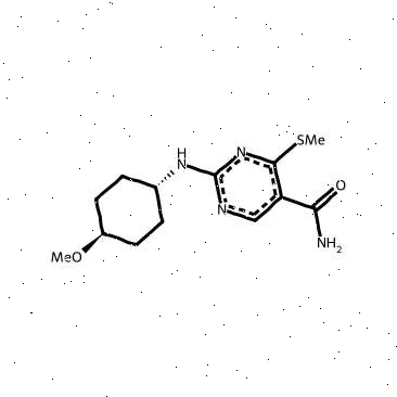 CO[C@H]1CC[C@H](Nc2ncc(C(N)=O)c(SC)n2)CC1